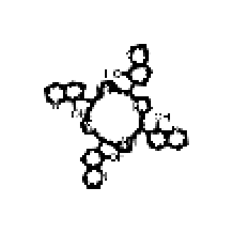 Oc1c(-c2c3nc(c(-c4ccc5cccnc5c4O)c4ccc([nH]4)c(-c4ccc5cccnc5c4O)c4nc(c(-c5ccc6cccnc6c5O)c5ccc2[nH]5)C=C4)C=C3)ccc2cccnc12